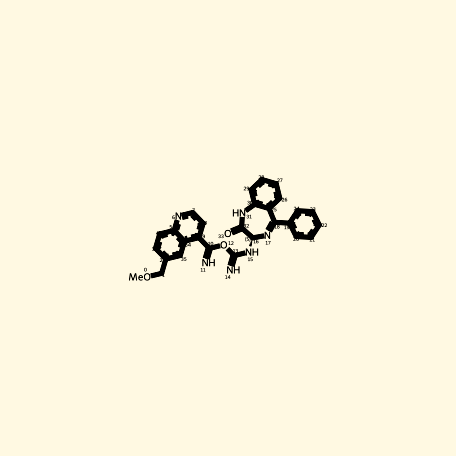 COCc1ccc2nccc(C(=N)OC(=N)N[C@H]3N=C(c4ccccc4)c4ccccc4NC3=O)c2c1